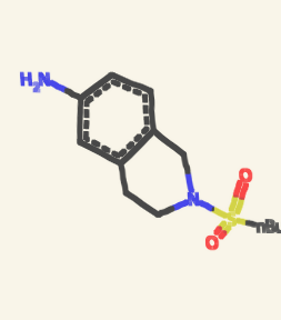 CCCCS(=O)(=O)N1CCc2cc(N)ccc2C1